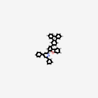 c1ccc(-c2cc(-c3ccccc3)nc(-c3ccc(-c4ccc5c6ccccc6c6ccccc6c5c4)c4c3oc3ccccc34)c2)cc1